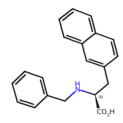 O=C(O)[C@H](Cc1ccc2ccccc2c1)NCc1ccccc1